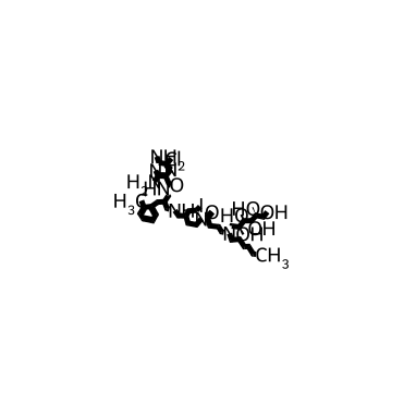 CCCCCCN(CCCC(=O)N1CCC(CNCC(CNC(=O)c2nc(Cl)c(N)nc2N)Cc2ccccc2C)CC1I)C[C@H](O)[C@@H](O)[C@H](O)[C@H](O)CO